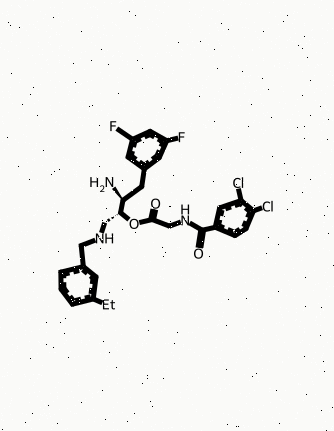 CCc1cccc(CNC[C@@H](OC(=O)CNC(=O)c2ccc(Cl)c(Cl)c2)[C@@H](N)Cc2cc(F)cc(F)c2)c1